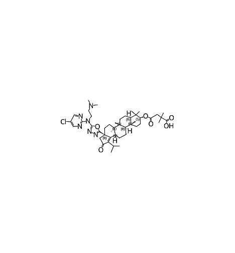 CC(C)C1=C2[C@H]3CC[C@@H]4[C@@]5(C)CC[C@H](OC(=O)CC(C)(C)C(=O)O)C(C)(C)[C@@H]5CC[C@@]4(C)[C@]3(C)CC[C@@]2(c2nnc(N(CCN(C)C)c3ncc(Cl)cn3)o2)CC1=O